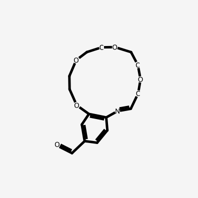 O=Cc1ccc2c(c1)OCCOCCOCCOC/C=N/2